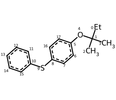 CCC(C)(C)Oc1ccc(Sc2ccccc2)cc1